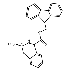 O=C(OCC1c2ccccc2-c2ccccc21)C1N[C@H](C(=O)O)Cc2ccccc21